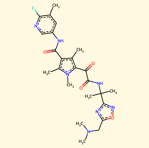 Cc1cc(NC(=O)c2c(C)c(C(=O)C(=O)NC(C)(C)c3noc(CN(C)C)n3)n(C)c2C)cnc1F